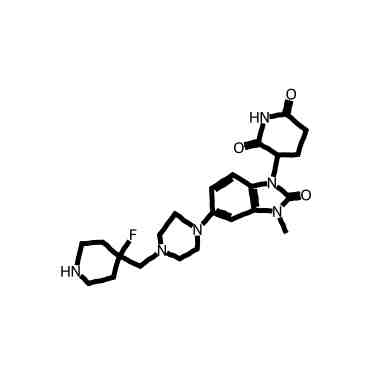 Cn1c(=O)n(C2CCC(=O)NC2=O)c2ccc(N3CCN(CC4(F)CCNCC4)CC3)cc21